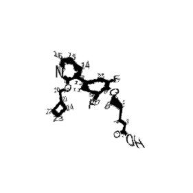 O=C(O)CCCCOc1c(F)cc(-c2cccnc2OCC2CCC2)cc1F